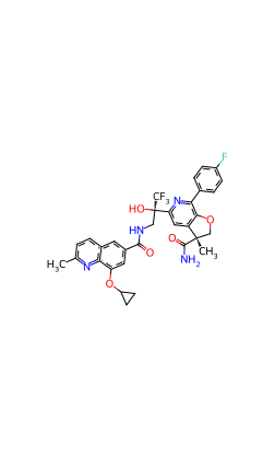 Cc1ccc2cc(C(=O)NC[C@](O)(c3cc4c(c(-c5ccc(F)cc5)n3)OC[C@]4(C)C(N)=O)C(F)(F)F)cc(OC3CC3)c2n1